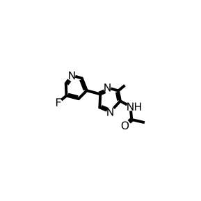 CC(=O)Nc1ncc(-c2cncc(F)c2)nc1C